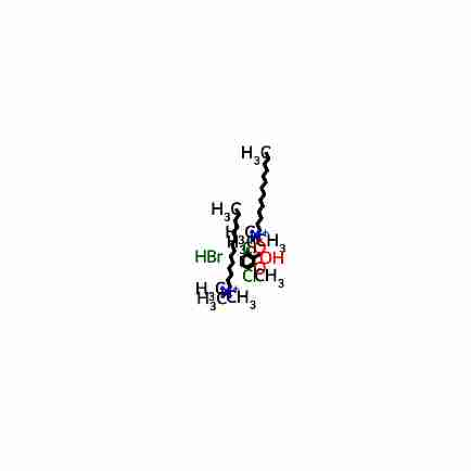 Br.CCCCCCCCCCCCCC[N+](C)(C)C.CCCCCCCCCCCCCC[N+](C)(C)C.COc1c(Cl)ccc(Cl)c1C(=O)O